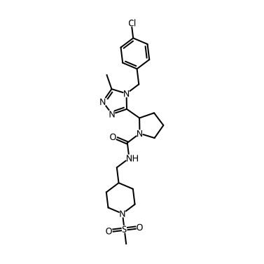 Cc1nnc(C2CCCN2C(=O)NCC2CCN(S(C)(=O)=O)CC2)n1Cc1ccc(Cl)cc1